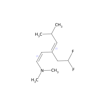 CC(C)/C=C(\C=C/N(C)C)CC(F)F